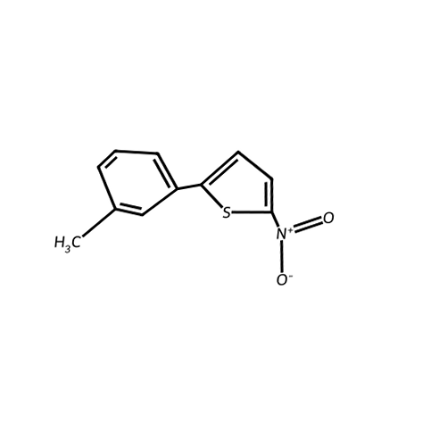 Cc1cccc(-c2ccc([N+](=O)[O-])s2)c1